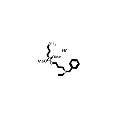 C=CN(CCCO[Si](CCCN)(OC)OC)Cc1ccccc1.Cl